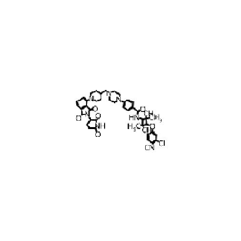 CC1(C)C(NC(=O)c2ccc(N3CCN(CC4CCN(c5cccc6c5C(=O)N(C5CCC(=O)NC5=O)C6=O)CC4)CC3)cc2)C(C)(C)C1Oc1ccc(C#N)c(Cl)c1